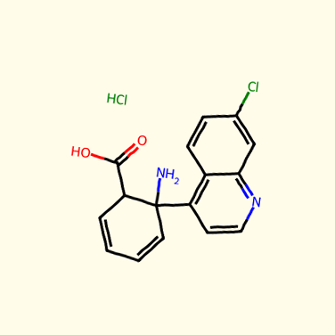 Cl.NC1(c2ccnc3cc(Cl)ccc23)C=CC=CC1C(=O)O